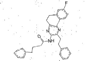 O=C(CCCc1ccccc1)Nc1nc2c(nc1CCc1ccccc1)-c1ccc(F)cc1CC2